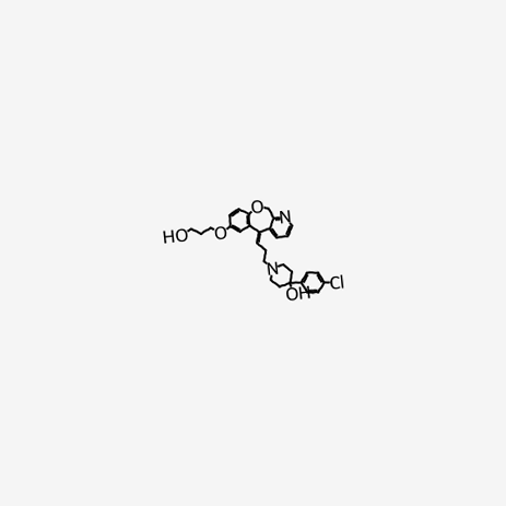 OCCCOc1ccc2c(c1)/C(=C/CCN1CCC(O)(c3ccc(Cl)cc3)CC1)c1cccnc1CO2